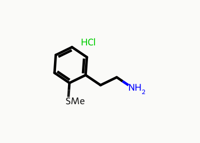 CSc1ccccc1CCN.Cl